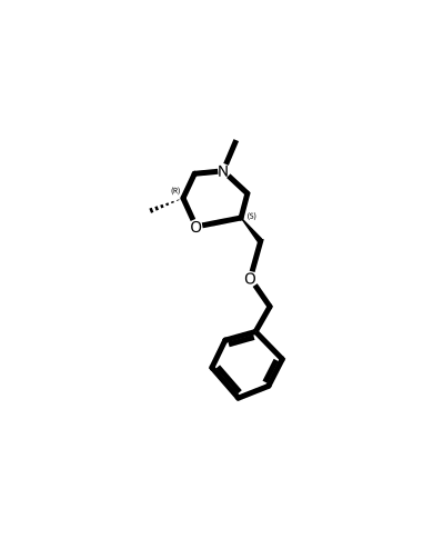 C[C@@H]1CN(C)C[C@@H](COCc2ccccc2)O1